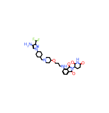 Nc1cn(C2CCC(CN3CCC(OCCCNc4cccc5c4C(=O)N(C4CCC(=O)NC4=O)C5=O)CC3)CC2)nc1C(F)F